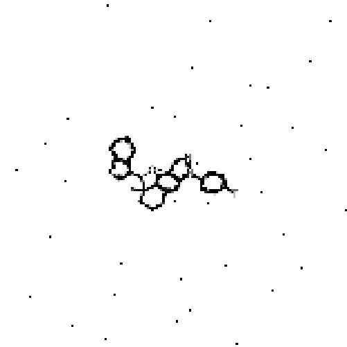 C[C@]1([C@H](O)c2csc3ccccc23)CCCc2cc3c(cnn3-c3ccc(F)cc3)cc21